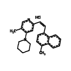 Cc1cnc(/C=C\c2ccc(C)c3ccccc23)cc1N1CCCCC1.Cl